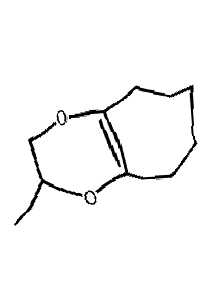 CC1COC2=C(CCCC2)O1